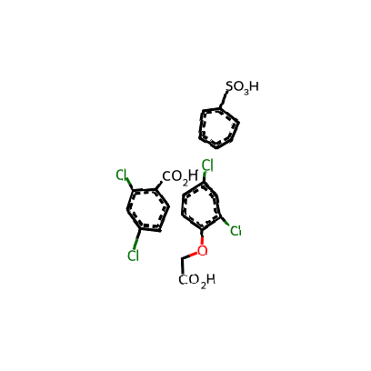 O=C(O)COc1ccc(Cl)cc1Cl.O=C(O)c1ccc(Cl)cc1Cl.O=S(=O)(O)c1ccccc1